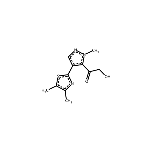 Cc1nc(-c2cnn(C)c2C(=O)CO)sc1C